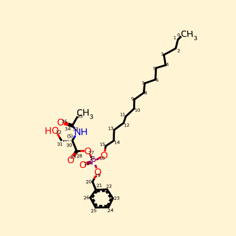 CCCCCCCCCCCCCCCCOP(=O)(OCc1ccccc1)OC(=O)[C@H](CO)NC(C)=O